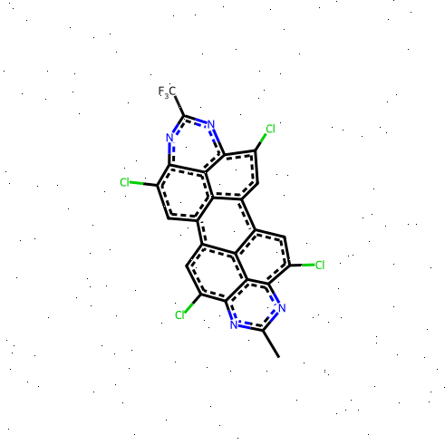 Cc1nc2c(Cl)cc3c4cc(Cl)c5nc(C(F)(F)F)nc6c(Cl)cc(c7cc(Cl)c(n1)c2c37)c4c56